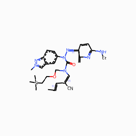 C=C1N=C(NCC)C=C/C1=N/N(C(=O)N(/C=C(C#N)\C=C\C)COCC[Si](C)(C)C)c1ccc2nn(C)cc2c1